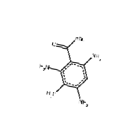 CCCCC(=O)c1c(N)cc(N)c(C)c1N